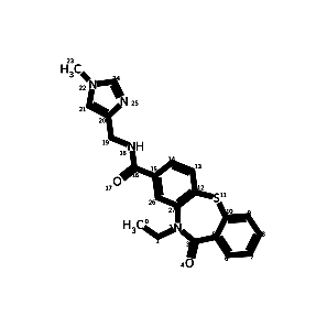 CCN1C(=O)c2ccccc2Sc2ccc(C(=O)NCc3cn(C)cn3)cc21